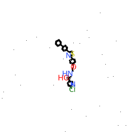 O[C@@H](CNCCOc1ccc(-c2nc(-c3ccc(-c4ccccc4)cc3)cs2)cc1)c1ccc(Cl)nc1